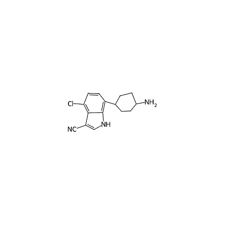 N#Cc1c[nH]c2c(C3CCC(N)CC3)ccc(Cl)c12